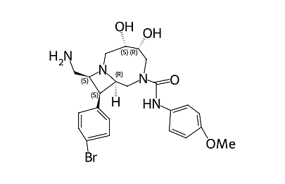 COc1ccc(NC(=O)N2C[C@@H](O)[C@@H](O)CN3[C@H](CN)[C@H](c4ccc(Br)cc4)[C@@H]3C2)cc1